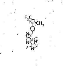 Cn1cc(C(F)(F)F)nc1-c1ccc(Cn2ncc3cnc(-c4c(C5CC5)ncnc4N4CCCC4)nc32)cc1